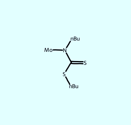 CCCCSC(=S)[N]([Mo])CCCC